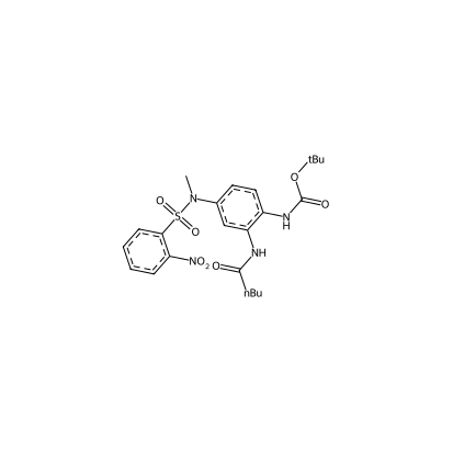 CCCCC(=O)Nc1cc(N(C)S(=O)(=O)c2ccccc2[N+](=O)[O-])ccc1NC(=O)OC(C)(C)C